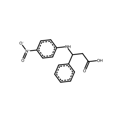 O=C(O)CC(Nc1ccc([N+](=O)[O-])cc1)c1ccccc1